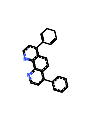 C1=CC(c2ccnc3c2ccc2c(-c4ccccc4)ccnc23)=CCC1